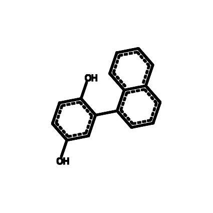 Oc1ccc(O)c(-c2cccc3ccccc23)c1